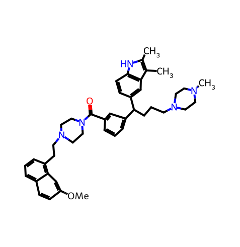 COc1ccc2cccc(CCN3CCN(C(=O)c4cccc(C(CCCN5CCN(C)CC5)c5ccc6[nH]c(C)c(C)c6c5)c4)CC3)c2c1